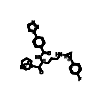 O=C(N[C@@H](CCCN[C@@H]1C[C@H]1c1ccc(F)cc1)C(=O)N1CCN2CCC1CC2)c1ccc(-n2ccnn2)cc1